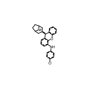 Clc1ccc(Nc2cccc3c2Oc2ccccc2C3=C2CC3CCC(C2)N3)cc1